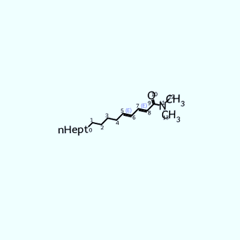 CCCCCCCCCCC/C=C/C=C/C(=O)N(C)C